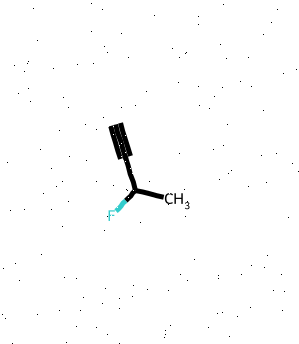 [C]#CC(C)F